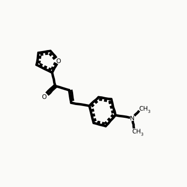 CN(C)c1ccc(C=CC(=O)c2ccco2)cc1